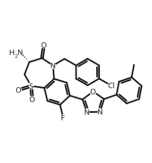 Cc1cccc(-c2nnc(-c3cc4c(cc3F)S(=O)(=O)C[C@H](N)C(=O)N4Cc3ccc(Cl)cc3)o2)c1